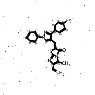 C=Cc1nc2sc(=Cc3cn(-c4ccccc4)nc3-c3ccc(F)cc3)c(=O)n2c1C